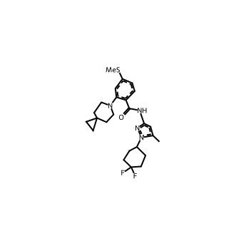 CSc1ccc(C(=O)Nc2cc(C)n(C3CCC(F)(F)CC3)n2)c(N2CCC3(CC2)CC3)c1